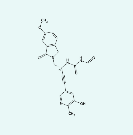 COc1ccc2c(c1)C(=O)N(C[C@@H](C#Cc1cnc(C)c(O)c1)NC(=O)NC=O)C2